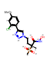 COc1ccc(-c2cn(CC[C@](C)(C(=O)NO)S(C)(=O)=O)nn2)c(Cl)c1